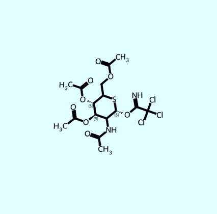 CC(=O)NC1[C@@H](OC(C)=O)[C@H](OC(C)=O)C(COC(C)=O)S[C@@H]1OC(=N)C(Cl)(Cl)Cl